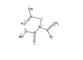 C=C(C#N)CN(C(=C)CC)C(=O)OC(C)(C)C